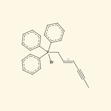 CC#C/C=C/CP(Br)(c1ccccc1)(c1ccccc1)c1ccccc1